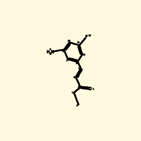 CCC(=O)/C=C/c1cc(N)cc(F)c1